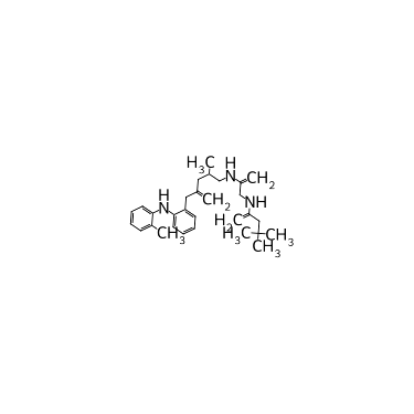 C=C(Cc1ccccc1Nc1ccccc1C)CC(C)CNC(=C)CNC(=C)CC(C)(C)C